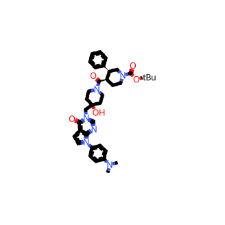 CN(C)c1ccc(-n2ccc3c(=O)n(CC4(O)CCN(C(=O)[C@@H]5CCN(C(=O)OC(C)(C)C)C[C@H]5c5ccccc5)CC4)cnc32)cc1